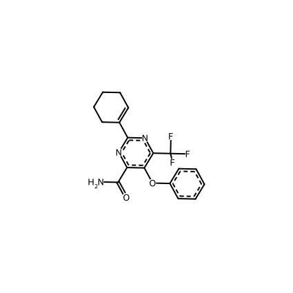 NC(=O)c1nc(C2=CCCCC2)nc(C(F)(F)F)c1Oc1ccccc1